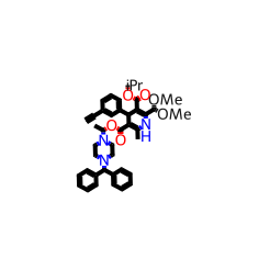 C#Cc1cccc(C2C(C(=O)OC(C)N3CCN(C(c4ccccc4)c4ccccc4)CC3)=C(C)NC(C(OC)OC)=C2C(=O)OC(C)C)c1